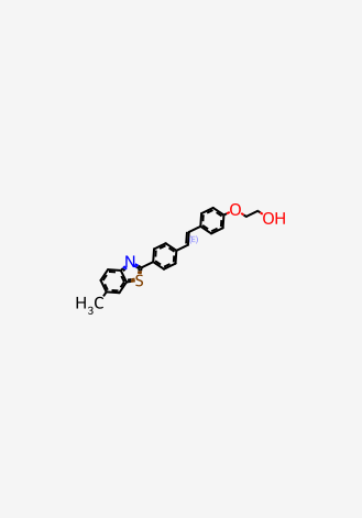 Cc1ccc2nc(-c3ccc(/C=C/c4ccc(OCCO)cc4)cc3)sc2c1